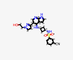 N#Cc1cccc(S(=O)(=O)N[C@H]2C[C@@H](Nc3c(-c4ccn(CCO)n4)cnc4[nH]ccc34)C2)c1